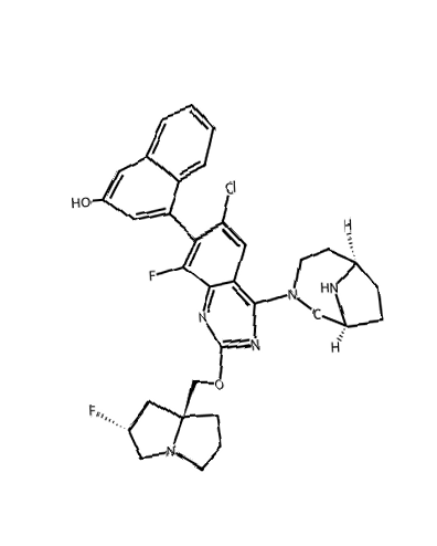 Oc1cc(-c2c(Cl)cc3c(N4CC[C@H]5CC[C@@H](C4)N5)nc(OC[C@@]45CCCN4C[C@H](F)C5)nc3c2F)c2ccccc2c1